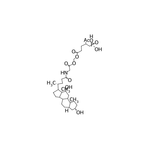 CC(=O)C(CCC(=O)OCOC(=O)CNC(=O)CC[C@@H](C)C1CCC2C3CC[C@@H]4C[C@H](O)CC[C@]4(C)C3C[C@H](O)[C@@]21C)CP(=O)(O)O